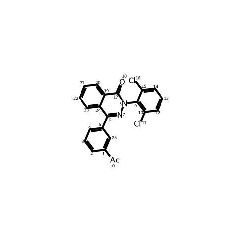 CC(=O)c1cccc(-c2nn(-c3c(Cl)cccc3Cl)c(=O)c3ccccc23)c1